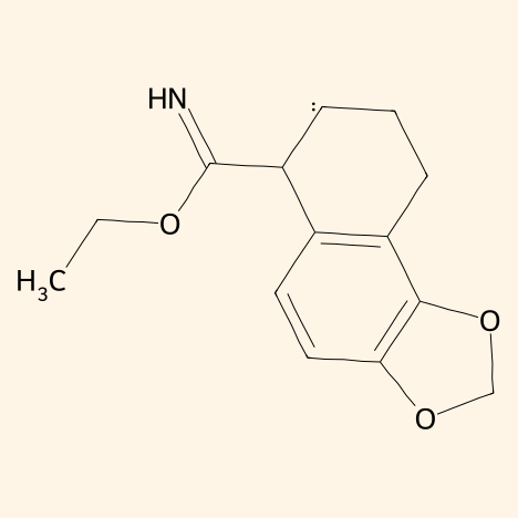 CCOC(=N)C1[C]CCc2c1ccc1c2OCO1